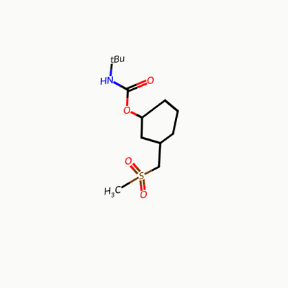 CC(C)(C)NC(=O)OC1CCCC(CS(C)(=O)=O)C1